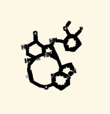 COc1c(F)cccc1Nc1c2[nH]c3c1C(=O)NC[C@H]3C/C=C\COc1ccn3ncc-2c3n1